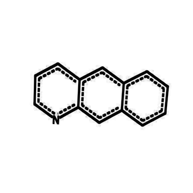 c1ccc2cc3ncccc3cc2c1